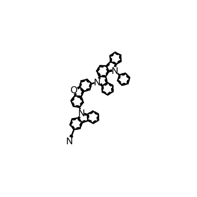 N#Cc1ccc2c(c1)c1ccccc1n2-c1ccc2oc3ccc(-n4c5ccccc5c5c4ccc4c6ccccc6n(-c6ccccc6)c45)cc3c2c1